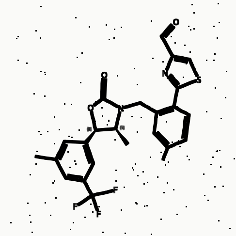 Cc1cc([C@H]2OC(=O)N(Cc3cc(C)ccc3-c3nc(C=O)cs3)[C@H]2C)cc(C(F)(F)F)c1